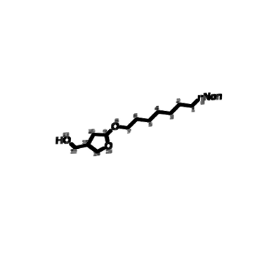 CCCCCCCCCCCCCCCCOC1CC(CO)CO1